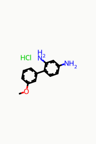 COc1cccc(-c2ccc(N)cc2N)c1.Cl